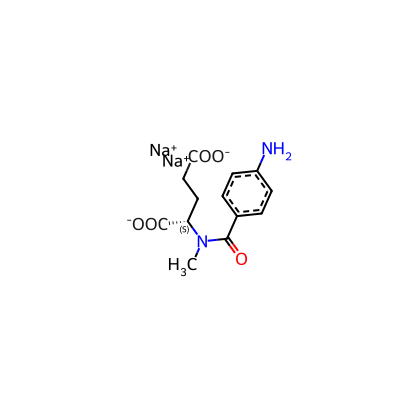 CN(C(=O)c1ccc(N)cc1)[C@@H](CCC(=O)[O-])C(=O)[O-].[Na+].[Na+]